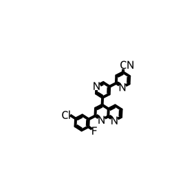 N#Cc1ccnc(-c2cncc(-c3cc(-c4cc(Cl)ccc4F)nc4ncccc34)c2)c1